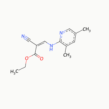 CCOC(=O)C(C#N)=CNc1ncc(C)cc1C